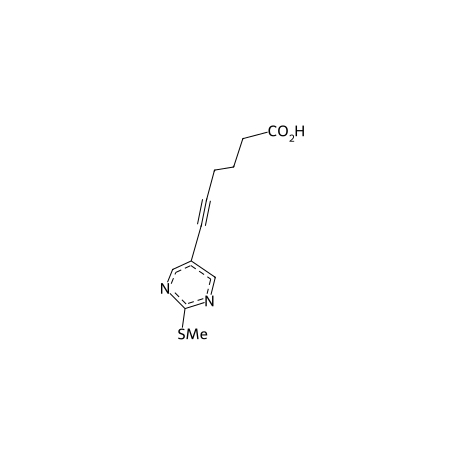 CSc1ncc(C#CCCCC(=O)O)cn1